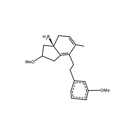 B[C@@]12CC=C(C)C(CCc3cccc(OC)c3)=C1CC(OC)C2